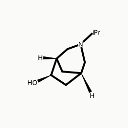 CC(C)N1C[C@H]2C[C@@H](C1)[C@H](O)C2